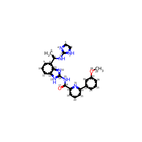 C=C(Nc1ncc[nH]1)c1cccc2[nH]c(NC(=O)c3cccc(-c4cccc(OC)c4)n3)nc12